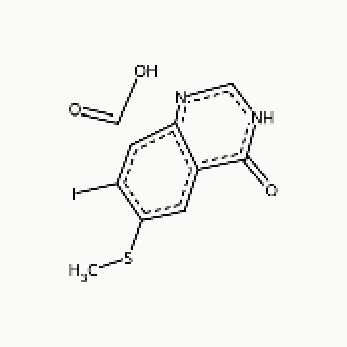 CSc1cc2c(=O)[nH]cnc2cc1I.O=CO